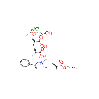 C=C(C)C(=O)O.C=C(C)C(=O)O.C=C(C)C(=O)OCCCC.C=C(CN(CC)CC)c1ccccc1.CCOCCO.Cl